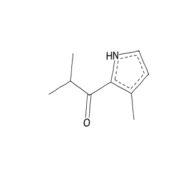 Cc1cc[nH]c1C(=O)C(C)C